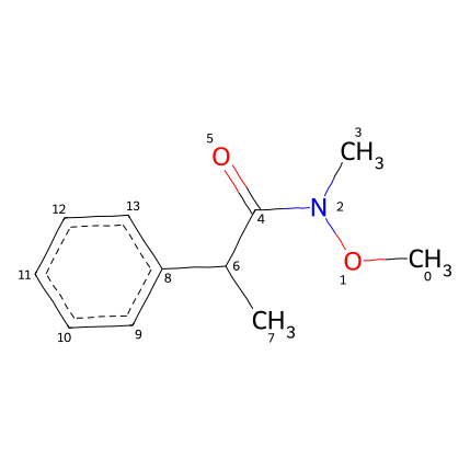 CON(C)C(=O)C(C)c1ccccc1